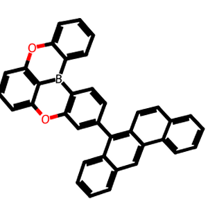 c1ccc2c(c1)Oc1cccc3c1B2c1ccc(-c2c4ccccc4cc4c2ccc2ccccc24)cc1O3